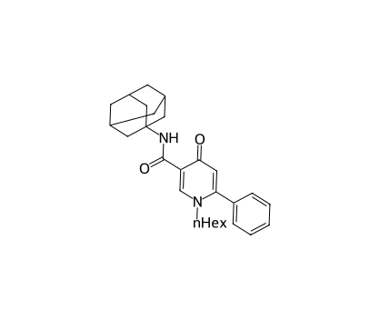 CCCCCCn1cc(C(=O)NC23CC4CC(CC(C4)C2)C3)c(=O)cc1-c1ccccc1